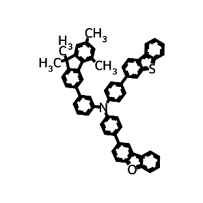 Cc1cc(C)c2c(c1)C(C)(C)c1ccc(-c3cccc(N(c4ccc(-c5ccc6c(c5)sc5ccccc56)cc4)c4ccc(-c5ccc6oc7ccccc7c6c5)cc4)c3)cc1-2